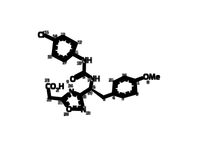 COc1ccc(C[C@H](NC(=O)Nc2ccc(Cl)cc2)c2noc(CC(=O)O)n2)cc1